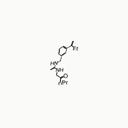 C=C(NCC(=O)CCC)NCc1cccc(C(=C)CC)c1